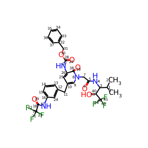 CC(C)C(NC(=O)Cn1cc(Cc2cccc(NC(=O)C(F)(F)F)c2)cc(NC(=O)OCc2ccccc2)c1=O)C(O)C(F)(F)F